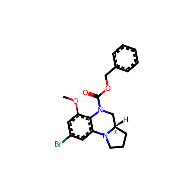 COc1cc(Br)cc2c1N(C(=O)OCc1ccccc1)C[C@@H]1CCCN21